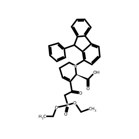 CCOP(=O)(CC(=O)C1=CCCN(c2cccc3c2C(c2ccccc2)c2ccccc2-3)[C@H]1C(=O)O)OCC